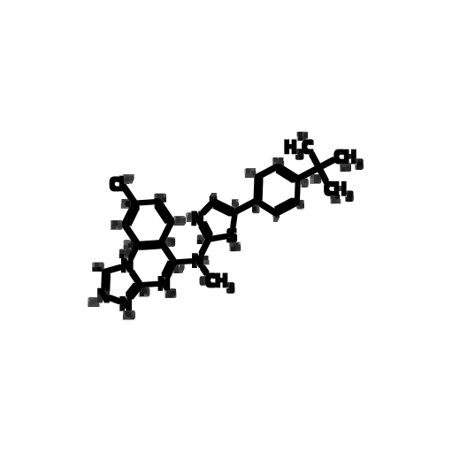 CN(c1ncc(-c2ccc(C(C)(C)C)cc2)s1)c1nc2nncn2c2cc(Cl)ccc12